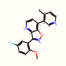 COc1ccc(F)cc1-c1noc2c(-c3cnccc3C)ccnc12